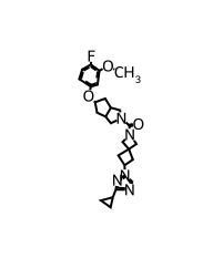 COc1cc(OC2CC3CN(C(=O)N4CC5(CC(n6cnc(C7CC7)n6)C5)C4)CC3C2)ccc1F